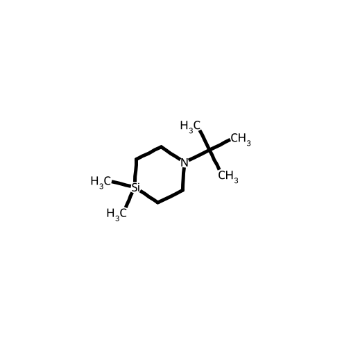 CC(C)(C)N1CC[Si](C)(C)CC1